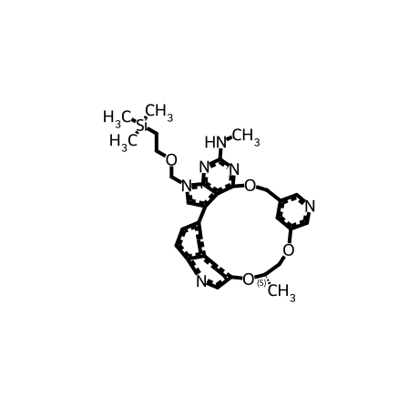 CNc1nc2c3c(cn(COCC[Si](C)(C)C)c3n1)-c1ccc3ncc(cc3c1)O[C@@H](C)COc1cncc(c1)CO2